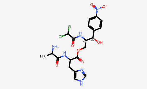 CC(N)C(=O)NC(Cc1c[nH]cn1)C(=O)OC[C@@H](NC(=O)C(Cl)Cl)[C@H](O)c1ccc([N+](=O)[O-])cc1